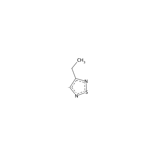 CCc1[c]nsn1